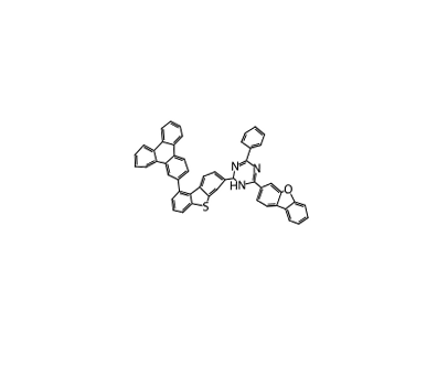 c1ccc(C2=NC(c3ccc4c(c3)sc3cccc(-c5ccc6c7ccccc7c7ccccc7c6c5)c34)NC(c3ccc4c(c3)oc3ccccc34)=N2)cc1